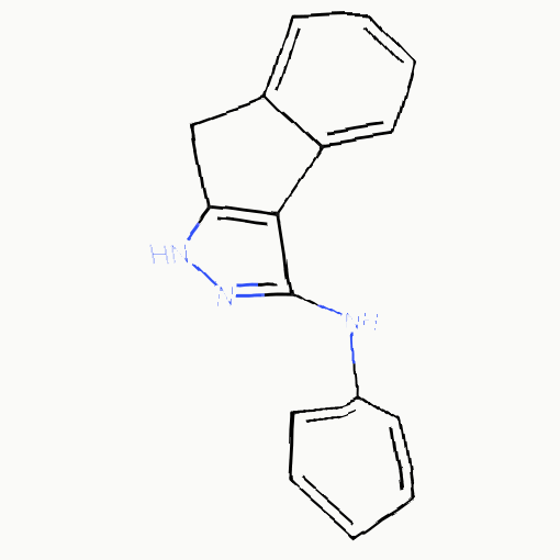 c1ccc(Nc2n[nH]c3c2-c2ccccc2C3)cc1